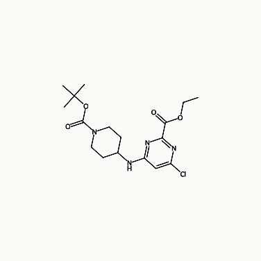 CCOC(=O)c1nc(Cl)cc(NC2CCN(C(=O)OC(C)(C)C)CC2)n1